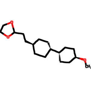 CO[C@H]1CC[C@H]([C@H]2CC[C@H](CCC3OCCO3)CC2)CC1